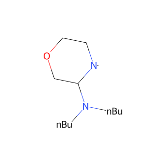 CCCCN(CCCC)C1COCC[N]1